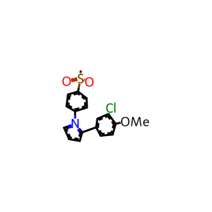 COc1ccc(-c2cccn2-c2ccc(S(C)(=O)=O)cc2)cc1Cl